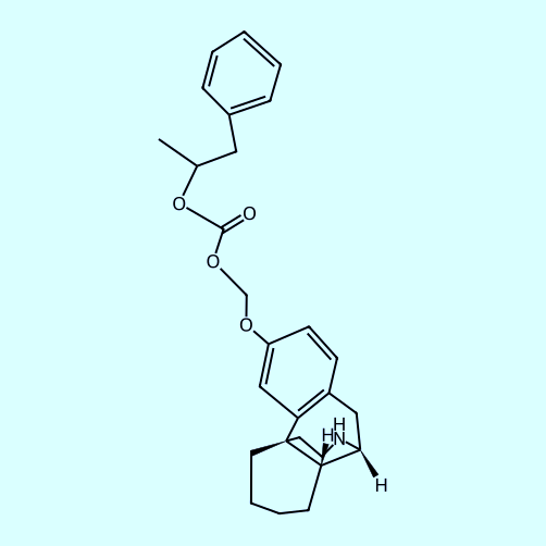 CC(Cc1ccccc1)OC(=O)OCOc1ccc2c(c1)[C@@]13CCCC[C@H]1[C@@H](C2)NCC3